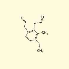 CCc1ccc(CC=O)c(CC=O)c1C